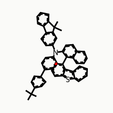 CC(C)(C)c1ccc(-c2ccc(N(c3ccc4c(c3)C(C)(C)c3ccccc3-4)c3ccc4ccccc4c3-c3cccc4sc5ccccc5c34)cc2)cc1